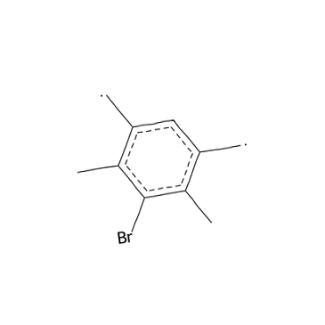 [CH2]c1cc([CH2])c(C)c(Br)c1C